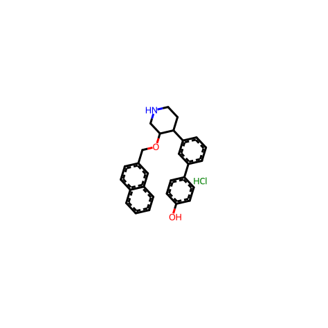 Cl.Oc1ccc(-c2cccc(C3CCNCC3OCc3ccc4ccccc4c3)c2)cc1